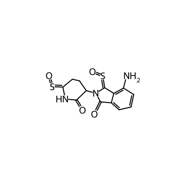 Nc1cccc2c1C(=S=O)N(C1CCC(=S=O)NC1=O)C2=O